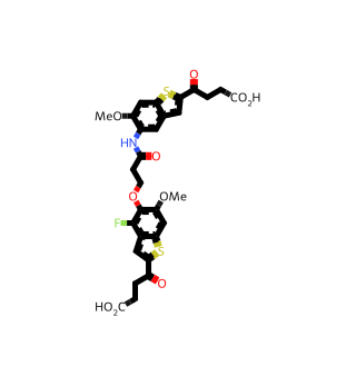 COc1cc2sc(C(=O)CCC(=O)O)cc2cc1NC(=O)CCOc1c(OC)cc2sc(C(=O)CCC(=O)O)cc2c1F